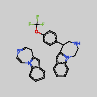 C1=Cn2c(cc3ccccc32)CC=N1.FC(F)(F)Oc1ccc(C2CNCCn3c2cc2ccccc23)cc1